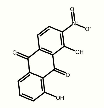 O=C1c2cccc(O)c2C(=O)c2c1ccc([N+](=O)[O-])c2O